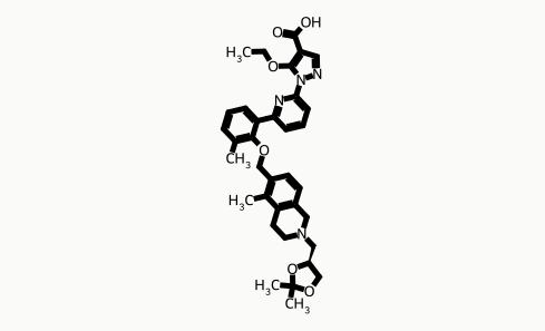 CCOc1c(C(=O)O)cnn1-c1cccc(-c2cccc(C)c2OCc2ccc3c(c2C)CCN(C[C@H]2COC(C)(C)O2)C3)n1